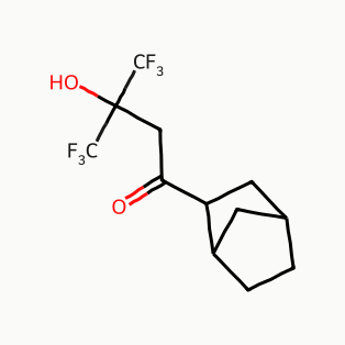 O=C(CC(O)(C(F)(F)F)C(F)(F)F)C1CC2CCC1C2